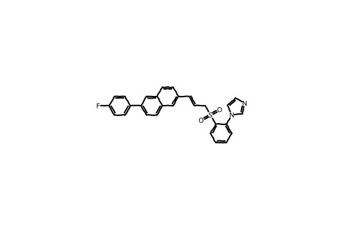 O=S(=O)(CC=Cc1ccc2cc(-c3ccc(F)cc3)ccc2c1)c1ccccc1-n1ccnc1